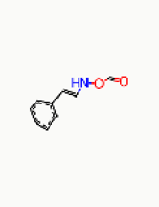 O=CONC=Cc1ccccc1